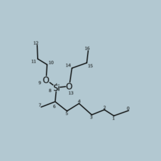 CCCCCCC(C)[Si](OCCC)OCCC